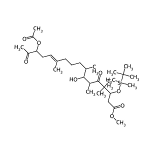 COC(=O)CC(O[Si](C)(C)C(C)(C)C)C(C)(C)C(=O)C(C)C(O)C(C)CCC/C(C)=C/CC(OC(C)=O)C(C)=O